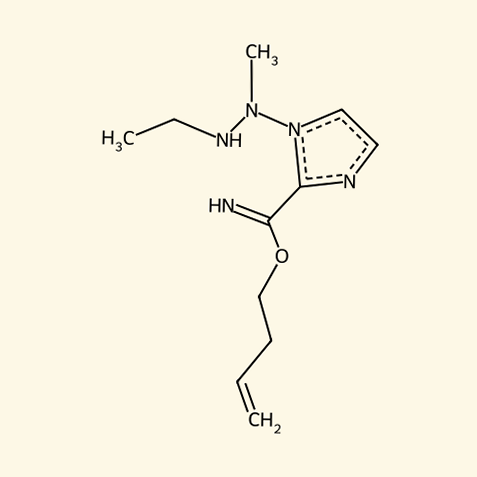 C=CCCOC(=N)c1nccn1N(C)NCC